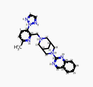 Cc1ccc(-n2nccn2)c(CN2CC3CC(C2)CN(c2ncc4ccccc4n2)C3)n1